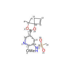 COc1ncc(B2OC(C)(C)C3(C=CC3)O2)cc1NS(C)(=O)=O